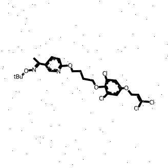 CC(=NOC(C)(C)C)c1ccc(OCCCCOc2c(Cl)cc(OCC=C(Cl)Cl)cc2Cl)nc1